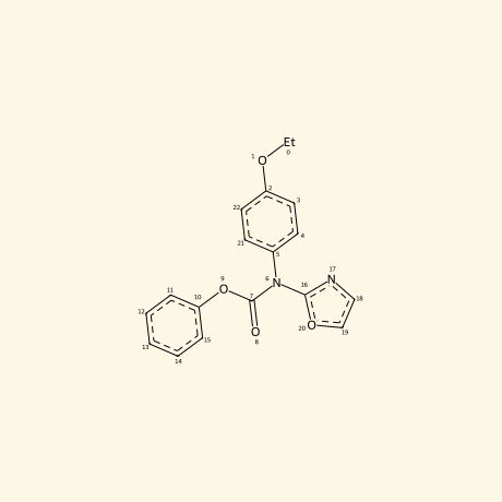 CCOc1ccc(N(C(=O)Oc2ccccc2)c2ncco2)cc1